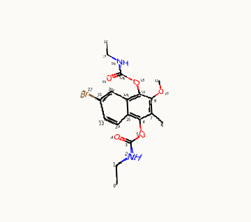 CCNC(=O)Oc1c(C)c(OC)c(OC(=O)NCC)c2cc(Br)ccc12